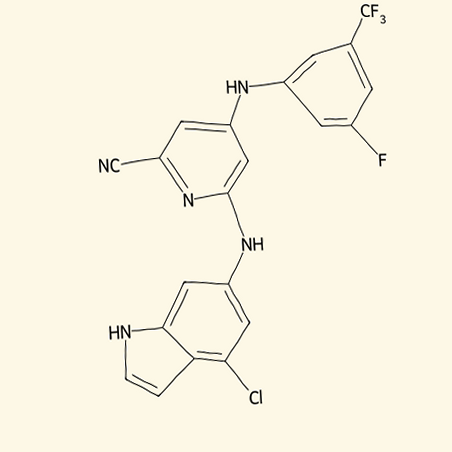 N#Cc1cc(Nc2cc(F)cc(C(F)(F)F)c2)cc(Nc2cc(Cl)c3cc[nH]c3c2)n1